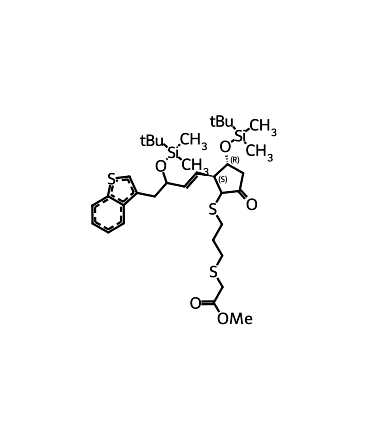 COC(=O)CSCCCSC1C(=O)C[C@@H](O[Si](C)(C)C(C)(C)C)[C@@H]1C=CC(Cc1csc2ccccc12)O[Si](C)(C)C(C)(C)C